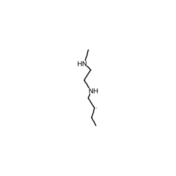 CC[CH]CNCCNC